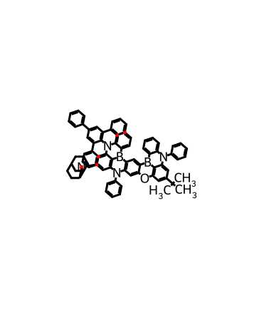 CC(C)(C)c1cc2c3c(c1)N(c1ccccc1)c1ccccc1B3c1cc3c(cc1O2)N(c1ccccc1)c1cc(N2CC4CCC5CC4CC2C5)cc2c1B3c1ccccc1N2c1c(-c2ccccc2)cc(-c2ccccc2)cc1-c1ccccc1